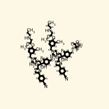 CCCNCC(=O)Oc1c(C)cc(C[n+]2cnn(C[C@](O)(c3ccc(F)cc3F)[C@@H](C)c3nc(-c4ccc(C#N)cc4)cs3)c2)cc1C.CCCNCC(=O)Oc1c(C)cc(C[n+]2cnn(C[C@](O)(c3ccc(F)cc3F)[C@@H](C)c3nc(-c4ccc(C#N)cc4)cs3)c2)cc1C.O=C([O-])C(F)(F)F.[Br-]